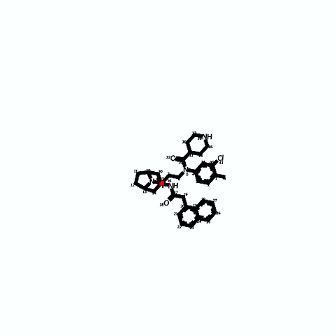 Cc1ccc(N(CCCN2C3CCC2CC(NC(=O)Cc2cccc4ccccc24)C3)C(=O)C2CCNCC2)cc1Cl